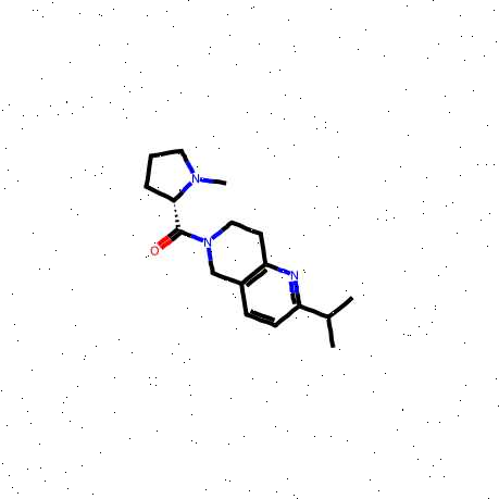 CC(C)c1ccc2c(n1)CCN(C(=O)[C@@H]1CCCN1C)C2